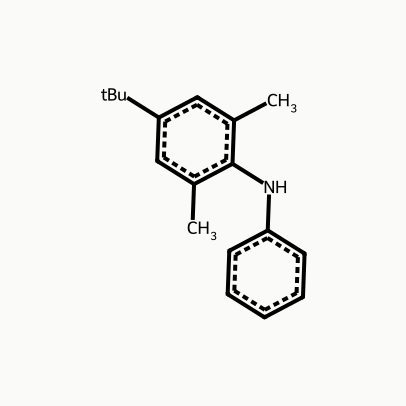 Cc1cc(C(C)(C)C)cc(C)c1Nc1ccccc1